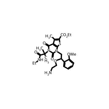 CCNC(=O)C(C)(C)n1c(=O)c2c(C)c(C(=O)OCC)sc2n(CC(OCCN)c2ccccc2OC)c1=O